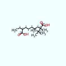 CCC(CCCCCC(C)(C(=O)O)C(C)(C)C)C(=O)O